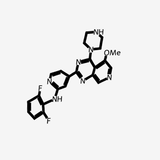 COc1cncc2nc(-c3ccnc(Nc4c(F)cccc4F)c3)nc(N3CCNCC3)c12